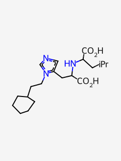 CC(C)CC(NC(Cc1cncn1CCC1CCCCC1)C(=O)O)C(=O)O